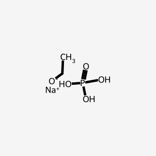 CC[O-].O=P(O)(O)O.[Na+]